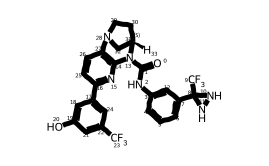 O=C(Nc1cccc(C2(C(F)(F)F)NN2)c1)N1c2nc(-c3cc(O)cc(C(F)(F)F)c3)ccc2N2CC[C@H]1C2